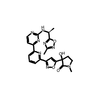 Cc1noc([C@H](C)Nc2nccc(-c3cccc(-c4cc(C5(O)CCN(C)C5=O)on4)n3)n2)n1